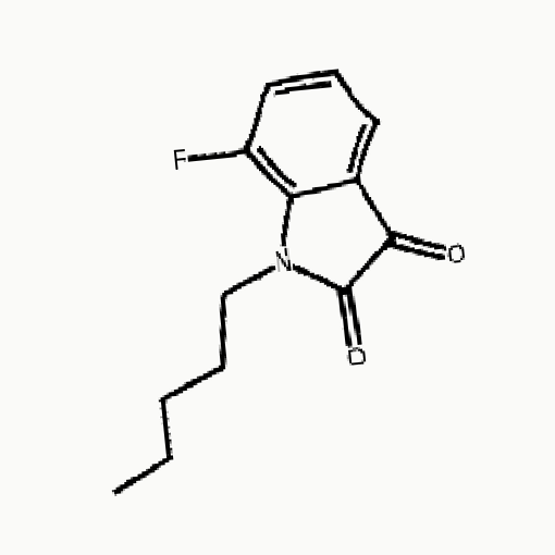 CCCCCN1C(=O)C(=O)c2cccc(F)c21